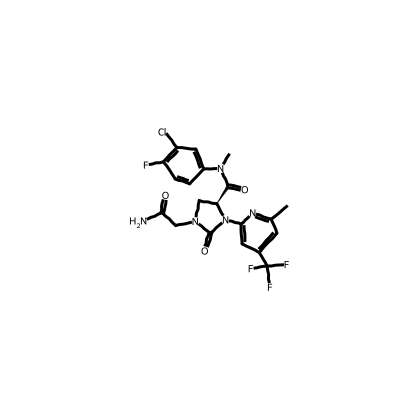 Cc1cc(C(F)(F)F)cc(N2C(=O)N(CC(N)=O)C[C@H]2C(=O)N(C)c2ccc(F)c(Cl)c2)n1